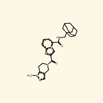 Cn1ncc2c1CCN(C(=O)c1cn3c(C(=O)NCC45CC6CC(CC(C6)C4)C5)cccc3n1)C2